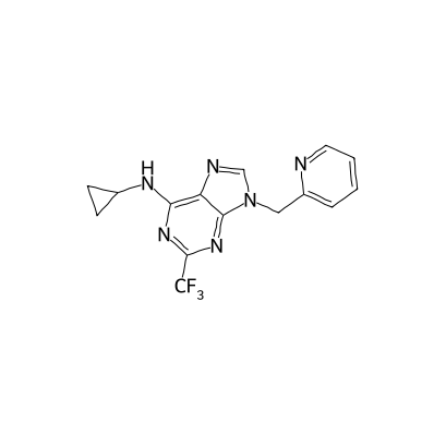 FC(F)(F)c1nc(NC2CC2)c2ncn(Cc3ccccn3)c2n1